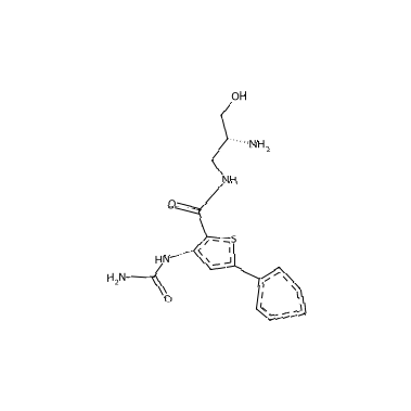 NC(=O)Nc1cc(-c2ccccc2)sc1C(=O)NC[C@@H](N)CO